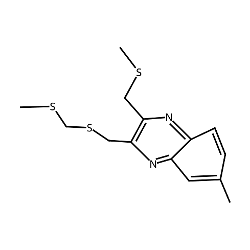 CSCSCc1nc2cc(C)ccc2nc1CSC